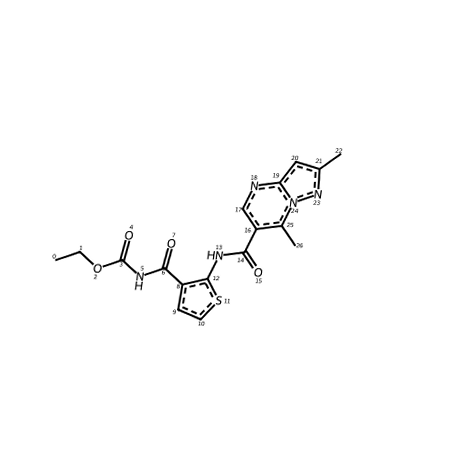 CCOC(=O)NC(=O)c1ccsc1NC(=O)c1cnc2cc(C)nn2c1C